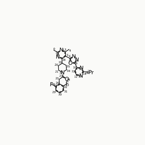 Cc1nc(C)c(-c2nnc(-c3ccnc(C(C)C)n3)o2)c(C2CCN(C(=O)Cc3c(F)cccc3F)CC2)n1